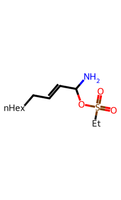 CCCCCCCC=CC(N)OS(=O)(=O)CC